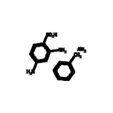 Cc1ccccc1.Nc1ccc(S(=O)(=O)O)c(N)c1.[AlH3]